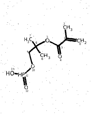 C=C(C)C(=O)OC(C)(C)CO[PH](=O)O